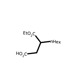 CCCCCCC(CC(=O)O)C(=O)OCC